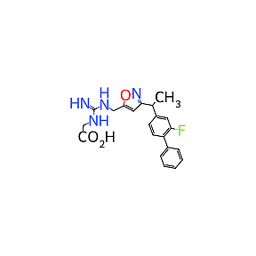 CC(c1ccc(-c2ccccc2)c(F)c1)c1cc(CNC(=N)NCC(=O)O)on1